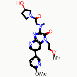 CCCOCCn1c(=O)c(N(C)CC(=O)N2CC[C@@H](O)C2)nc2ncc(-c3ccc(OC)nc3)cc21